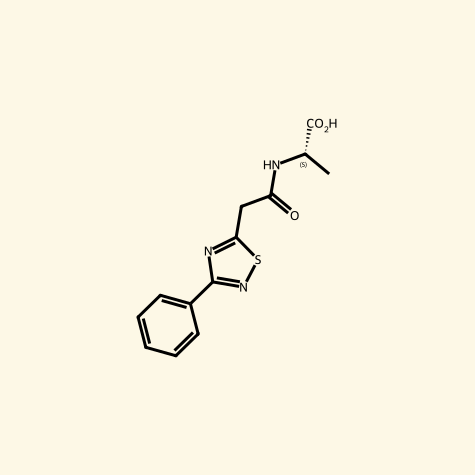 C[C@H](NC(=O)Cc1nc(-c2ccccc2)ns1)C(=O)O